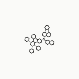 c1ccc(C2=c3c(c4ccc(N(c5ccc6ccccc6c5)c5ccc6c7c(cccc57)-c5ccccc5-6)cc4c4ccccc34)=C(c3ccccc3)C(c3ccccc3)C2)cc1